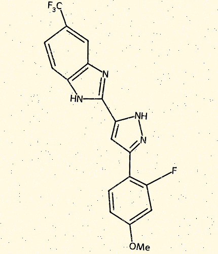 COc1ccc(-c2cc(-c3nc4cc(C(F)(F)F)ccc4[nH]3)[nH]n2)c(F)c1